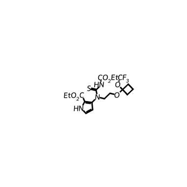 CCOC(=O)NC(=S)N(CCOC1(OC(F)(F)F)CCC1)c1cc[nH]c1C(=O)OCC